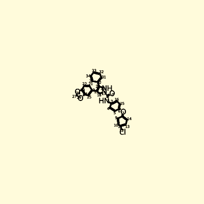 O=C(Nc1ccc(Oc2ccc(Cl)cc2)cc1)N1CC(c2ccc3c(c2)OCO3)=C(c2ccccc2)N1